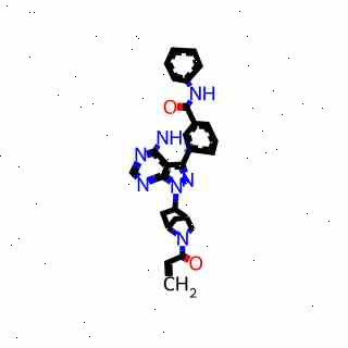 C=CC(=O)N1CC2CC1CC2n1nc(-c2cccc(C(=O)Nc3ccccc3)c2)c2c(N)ncnc21